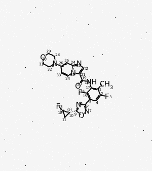 Cc1c(F)cc(-c2noc([C@@H]3C[C@H]3F)n2)c(F)c1NC(=O)c1cnc2cc(N3CCOCC3)ccn12